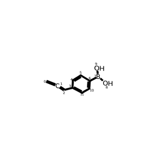 C=C=Cc1ccc(B(O)O)cc1